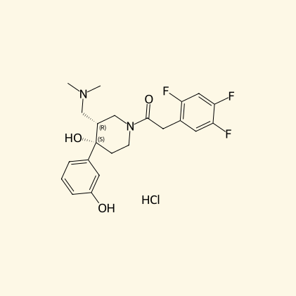 CN(C)C[C@@H]1CN(C(=O)Cc2cc(F)c(F)cc2F)CC[C@@]1(O)c1cccc(O)c1.Cl